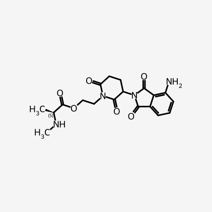 CN[C@@H](C)C(=O)OCCN1C(=O)CCC(N2C(=O)c3cccc(N)c3C2=O)C1=O